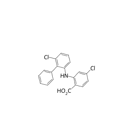 O=C(O)c1ccc(Cl)cc1Nc1cccc(Cl)c1-c1ccccc1